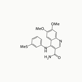 COc1cc2ncc(C(N)=O)c(Nc3cccc(SC)c3)c2cc1OC